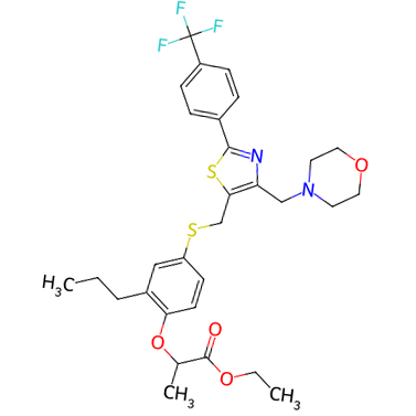 CCCc1cc(SCc2sc(-c3ccc(C(F)(F)F)cc3)nc2CN2CCOCC2)ccc1OC(C)C(=O)OCC